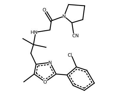 Cc1oc(-c2ccccc2Cl)nc1CC(C)(C)NCC(=O)N1CCCC1C#N